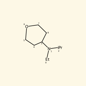 CCN(C(C)C)C1CCOCC1